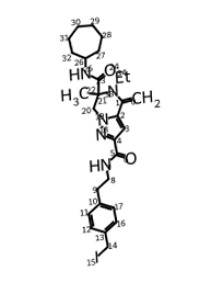 C=C1c2cc(C(=O)NCCc3ccc(CI)cc3)nn2CC(C)(C(=O)NC2CCCCCC2)N1CC